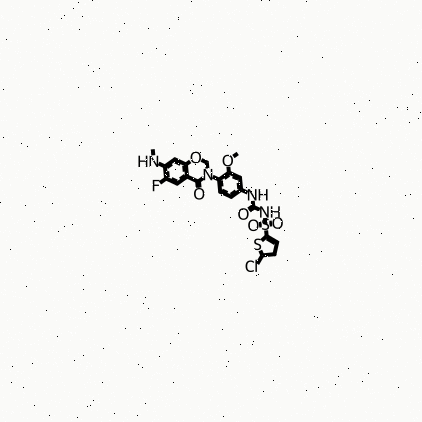 CNc1cc2c(cc1F)C(=O)N(c1ccc(NC(=O)NS(=O)(=O)C3=CCC(Cl)S3)cc1OC)CO2